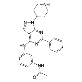 CC(=O)Nc1cccc(Nc2nc(-c3ccccc3)nc3c2cnn3C2CCNCC2)c1